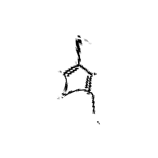 [CH2]c1csc(I)c1